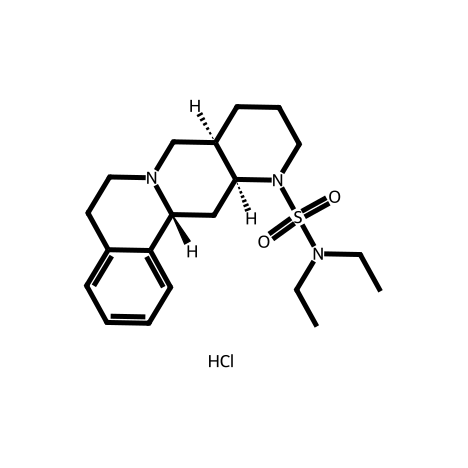 CCN(CC)S(=O)(=O)N1CCC[C@@H]2CN3CCc4ccccc4[C@H]3C[C@@H]21.Cl